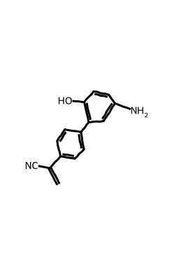 C=C(C#N)c1ccc(-c2cc(N)ccc2O)cc1